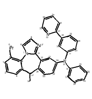 CC(C)c1cccc2c1-n1ccnc1-c1cc(N(c3ccccc3)c3cccc(-c4ccccn4)c3)ccc1C2C